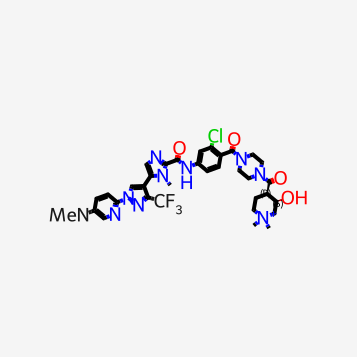 CNc1ccc(-n2cc(-c3cnc(C(=O)Nc4ccc(C(=O)N5CCN(C(=O)[C@@H]6CC[N+](C)(C)C[C@H]6O)CC5)c(Cl)c4)n3C)c(C(F)(F)F)n2)nc1